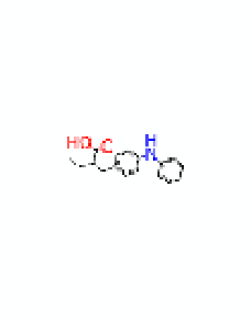 CCC(Cc1ccc(Nc2ccccc2)cc1)C(=O)O